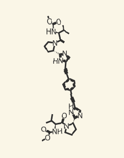 C=C([C@@H](NC(=O)OC)C(C)C)N1CCC[C@H]1c1ncc(C#Cc2ccc(C#Cc3cnc([C@@H]4CCCN4C(=O)[C@@H](NC(=O)OC)C(C)C)[nH]3)cc2)[nH]1